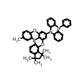 Cc1ccc2c(c1)B1c3ccc4c(c3Oc3cc(N5c6ccccc6N(c6ccccc6)c6ccccc65)cc(c31)O2)C(C)(C)CC4(C)C